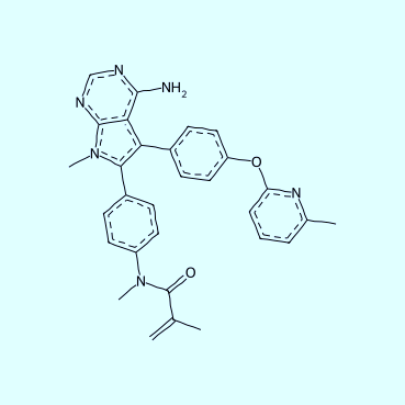 C=C(C)C(=O)N(C)c1ccc(-c2c(-c3ccc(Oc4cccc(C)n4)cc3)c3c(N)ncnc3n2C)cc1